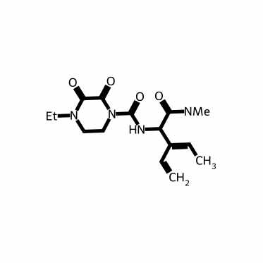 C=C/C(=C\C)C(NC(=O)N1CCN(CC)C(=O)C1=O)C(=O)NC